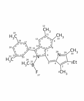 CCC1=C(C)/C(=C/c2c3cc(C)c(C)cc3c(-c3cc(C)cc(C)c3)n2B(C)F)N=C1C